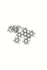 CC1(C)OB(c2cc(-c3ccccc3)cc(-c3cc4c(-c5ccccc5)nc5ccccc5c4c4ccccc34)c2)OC1(C)C